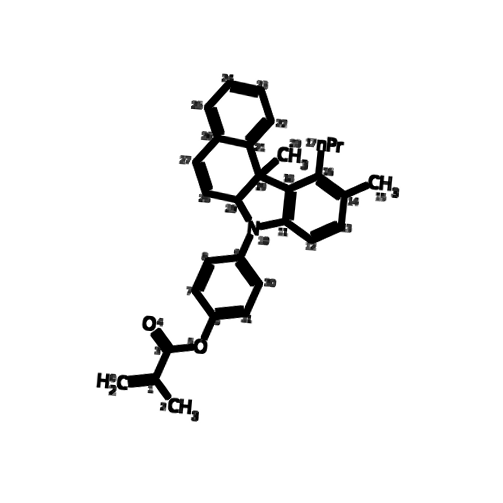 C=C(C)C(=O)Oc1ccc(N2c3ccc(C)c(CCC)c3C3(C)c4ccccc4C=CC23)cc1